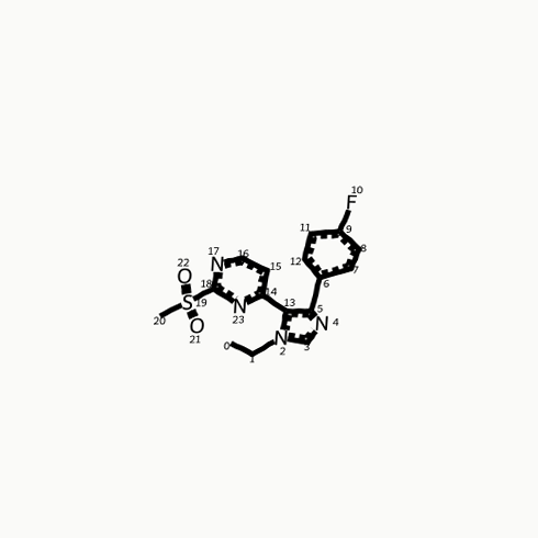 CCn1cnc(-c2ccc(F)cc2)c1-c1ccnc(S(C)(=O)=O)n1